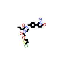 CCCC1C(=O)N(Cc2ccc(-c3ccc(=O)[nH]c3)cc2)CCN1C(=O)COc1ccc(Cl)s1